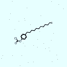 CCCCCCCCCCCCc1ccc(OC(=O)Cl)cc1